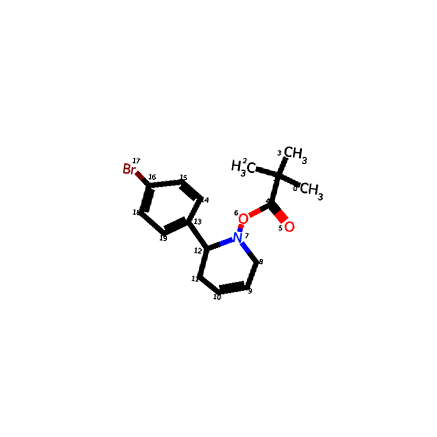 CC(C)(C)C(=O)ON1CC=CCC1c1ccc(Br)cc1